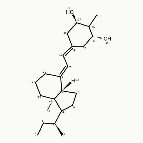 CC[C@H](C)C1CC[C@H]2/C(=C/C=C3C[C@@H](O)C(C)[C@H](O)C3)CCC[C@]12C